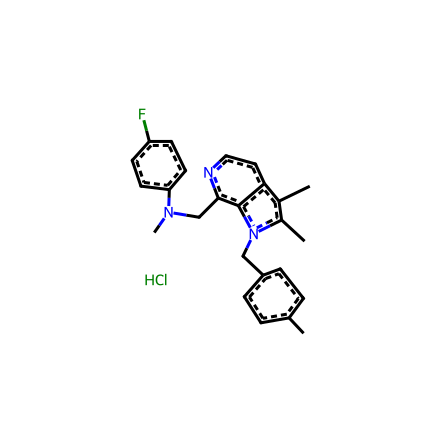 Cc1ccc(Cn2c(C)c(C)c3ccnc(CN(C)c4ccc(F)cc4)c32)cc1.Cl